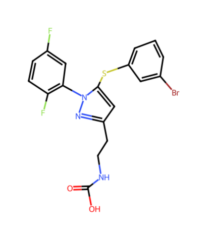 O=C(O)NCCc1cc(Sc2cccc(Br)c2)n(-c2cc(F)ccc2F)n1